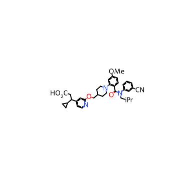 COc1ccc(C(=O)N(CC(C)C)c2cccc(C#N)c2)c(N2CCC(COc3cc(C(CC(=O)O)C4CC4)ccn3)CC2)c1